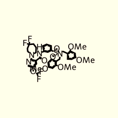 COc1ccc(CN(Cc2ccc(OC)cc2OC)S(=O)(=O)c2cccc(NC(=O)c3cc(OC(F)F)cnc3N3CCCC(F)(F)CC3)c2)c(OC)c1